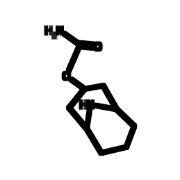 NC(=O)OC1CC2CCCC(C1)N2